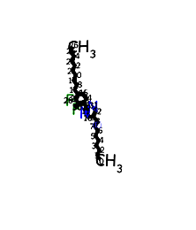 CCCCCCC/C=C/c1cnc(-c2ccc(CCCCCCCCCC)c(F)c2F)nc1